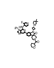 CC(C)n1cnc2cc(-c3ccc4c(c3)N([C@H]3C[C@@H](N5CCC(C)(C)C5)C3)C(=O)C43CCN(C(=O)C4CCCOC4)CC3)nc(Nc3ccncc3F)c21